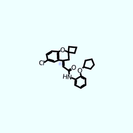 O=C(/C=C1\CC2(CCC2)Oc2ccc(Cl)cc21)Nc1ccccc1OC1CCCC1